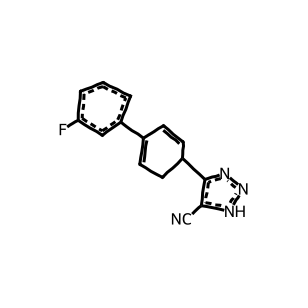 N#Cc1[nH]nnc1C1C=CC(c2cccc(F)c2)=CC1